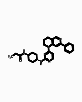 O=C(CC(F)(F)F)N[C@H]1CC[C@H](Nc2nccc(N3CCCc4cnc(-c5ccccc5)cc43)n2)CC1